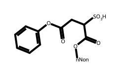 CCCCCCCCCOC(=O)C(CC(=O)Oc1ccccc1)S(=O)(=O)O